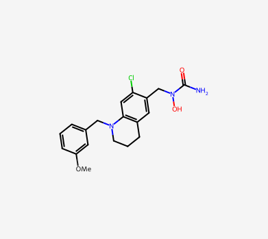 COc1cccc(CN2CCCc3cc(CN(O)C(N)=O)c(Cl)cc32)c1